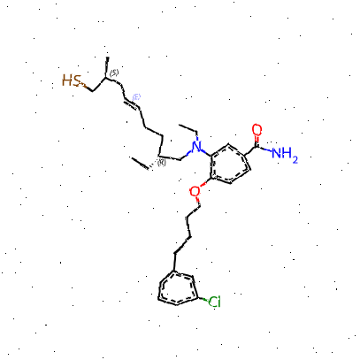 CC[C@H](CC/C=C/C[C@H](C)CS)CN(CC)c1cc(C(N)=O)ccc1OCCCCc1cccc(Cl)c1